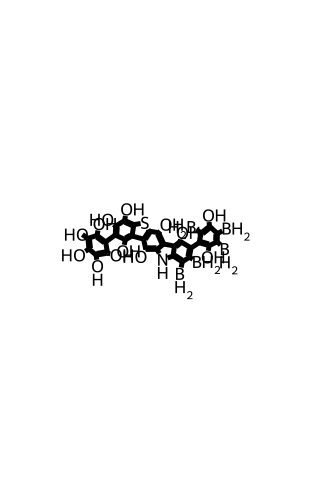 Bc1c(B)c(O)c(-c2c(B)c(B)c3[nH]c4c(O)c5c(sc6c(O)c(O)c(-c7c(O)c(O)c(O)c(O)c7O)c(O)c65)c(O)c4c3c2O)c(B)c1O